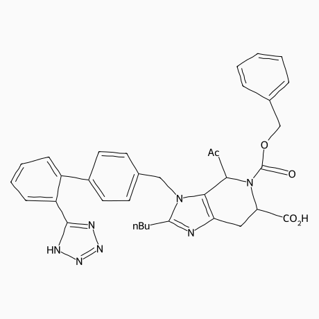 CCCCc1nc2c(n1Cc1ccc(-c3ccccc3-c3nnn[nH]3)cc1)C(C(C)=O)N(C(=O)OCc1ccccc1)C(C(=O)O)C2